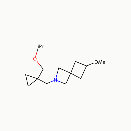 COC1CC2(C1)CN(CC1(COC(C)C)CC1)C2